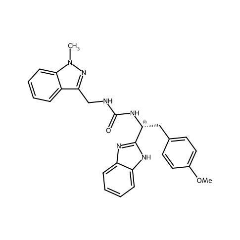 COc1ccc(C[C@@H](NC(=O)NCc2nn(C)c3ccccc23)c2nc3ccccc3[nH]2)cc1